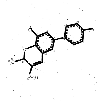 Cc1ccc(-c2cc(Cl)c3c(c2)C=C(C(=O)O)C(C(F)(F)F)O3)cc1